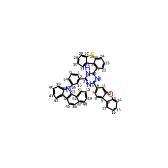 c1cc(C2=NC(c3ccc4c(c3)oc3ccccc34)=NC(c3cccc4sc5ccccc5c34)N2)cc(-n2c3ccccc3c3ccc4ccccc4c32)c1